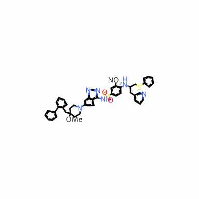 COC1(Cc2ccccc2-c2ccccc2)CCN(c2ccc3c(NS(=O)(=O)c4ccc(NC(CSc5ccccc5)Cc5cccnc5)c([N+](=O)[O-])c4)ncnc3c2)CC1